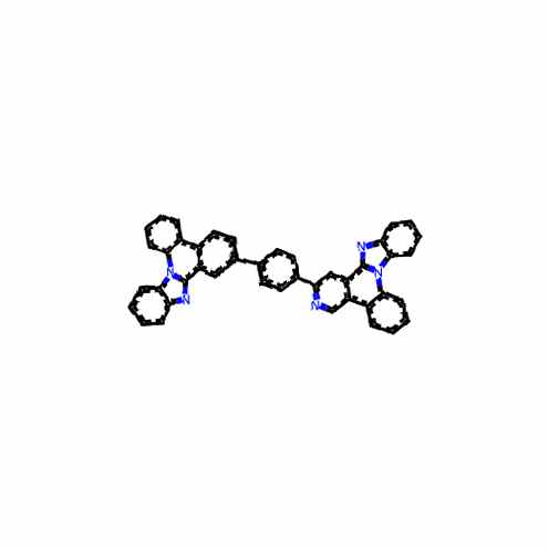 c1ccc2c(c1)nc1c3cc(-c4ccc(-c5cc6c(cn5)c5ccccc5n5c7ccccc7nc65)cc4)ccc3c3ccccc3n21